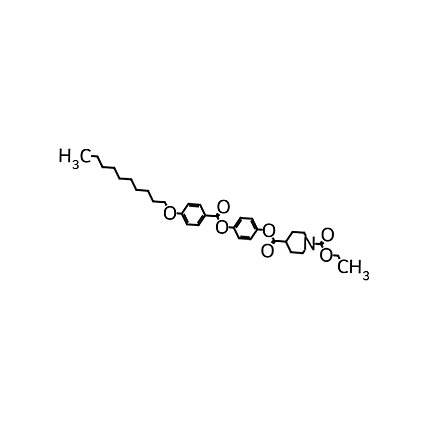 CCCCCCCCCCOc1ccc(C(=O)Oc2ccc(OC(=O)C3CCN(C(=O)OCC)CC3)cc2)cc1